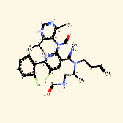 C=CCCN(/C(=N/C)c1cc(F)c(-c2ccccc2F)nc1N(C=O)c1c(C)ncnc1C(C)C)C(C)CNC=O